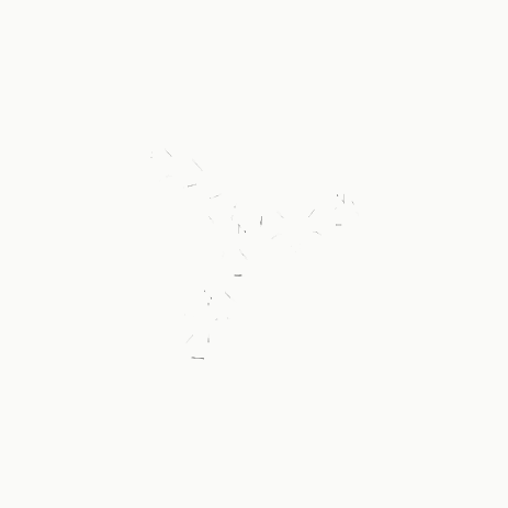 c1ccc2cc(-c3ccc(N(c4ccc(-c5ccc6c(n5)oc5ccccc56)cc4)c4ccc5c(c4)oc4cc6cccnc6cc45)cc3)ccc2c1